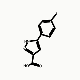 O=C(O)c1cc(-c2ccc(I)cc2)[nH]n1